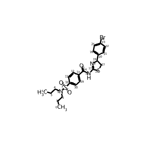 CCCN(CCC)S(=O)(=O)c1ccc(C(=O)NC2=NC(c3ccc(Br)cc3)CS2)cc1